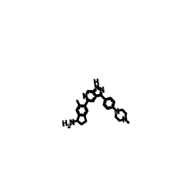 Cc1cc2c(cc1-c1cc3c(-c4ccc(N5CCN(C)CC5)cc4)n[nH]c3cn1)CCC2N